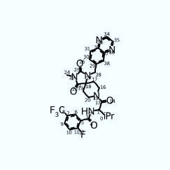 CC(C)C(NC(=O)c1cc(C(F)(F)F)ccc1F)C(=O)N1CCC2(CC1)C(=O)N(C)C(=O)N2Cc1ccc2nccnc2c1